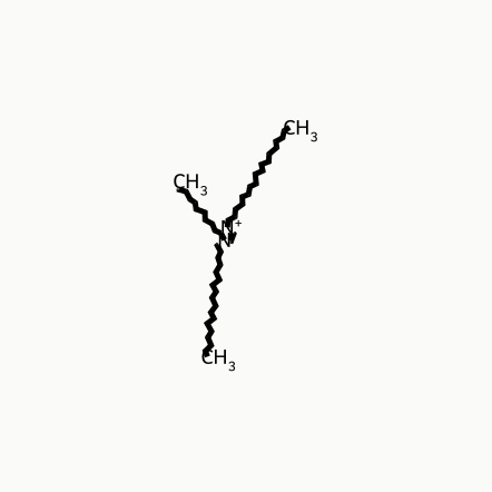 CCCCCCCCCCCCCCCCCCn1cc[n+](CCCCCCCCCCCCCCCCCC)c1CCCCCCCCCC